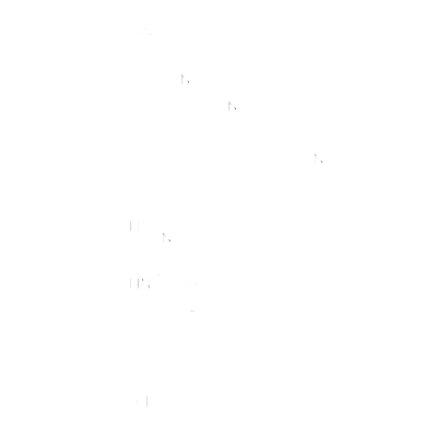 O=C(Nc1ccc(Cl)cc1F)N(O)c1cccc(-c2sc(N3CCOCC3)nc2-c2ccncc2)c1